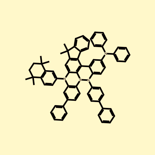 CC1(C)CCC(C)(C)c2cc(N3c4cc(-c5ccccc5)ccc4B4c5c3cc3c(c5-c5cc(N(c6ccccc6)c6ccccc6)ccc5N4c4ccc(-c5ccccc5)cc4)-c4ccccc4C3(C)C)ccc21